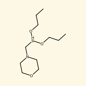 CCCO[SiH](CN1CCOCC1)OCCC